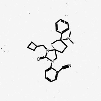 CN(C)[C@]1(c2ccccc2)CC[C@]2(CC1)CN(c1ccccc1C#N)C(=O)N2CC1CCC1